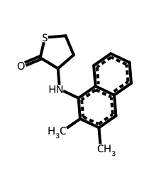 Cc1cc2ccccc2c(NC2CCSC2=O)c1C